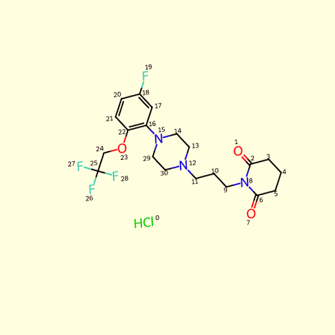 Cl.O=C1CCCC(=O)N1CCCN1CCN(c2cc(F)ccc2OCC(F)(F)F)CC1